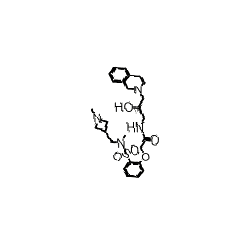 CN1CC(CN(C)S(=O)(=O)c2ccccc2OCC(=O)NC[C@@H](O)CN2CCc3ccccc3C2)C1